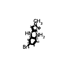 Cn1cc(Nc2cc(Br)ccc2N)cn1